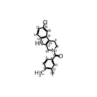 Cc1ccc(C(=O)N2CCc3c([nH]c4ccc(Cl)cc34)C2)cc1F